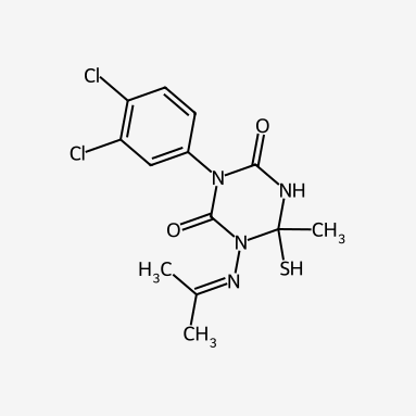 CC(C)=NN1C(=O)N(c2ccc(Cl)c(Cl)c2)C(=O)NC1(C)S